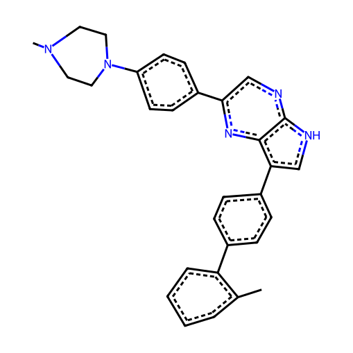 Cc1ccccc1-c1ccc(-c2c[nH]c3ncc(-c4ccc(N5CCN(C)CC5)cc4)nc23)cc1